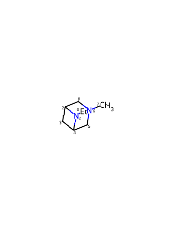 CCN1C2CC1CN(C)C2